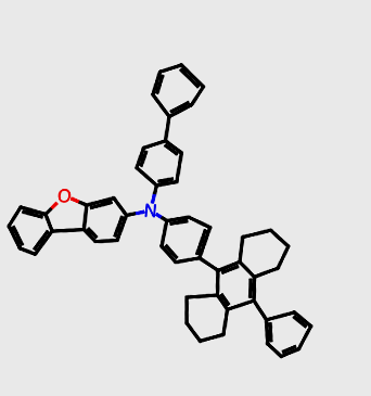 c1ccc(-c2ccc(N(c3ccc(-c4c5c(c(-c6ccccc6)c6c4CCCC6)CCCC5)cc3)c3ccc4c(c3)oc3ccccc34)cc2)cc1